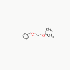 CCC(C)OCCCOCc1ccccc1